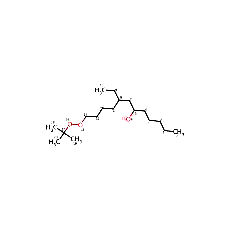 CCCCCC(O)CC(CC)CCCCOOC(C)(C)C